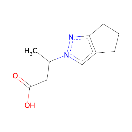 CC(CC(=O)O)n1cc2c(n1)CCC2